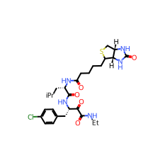 CCNC(=O)C(=O)[C@H](Cc1ccc(Cl)cc1)NC(=O)[C@H](CC(C)C)NC(=O)CCCCC1SC[C@@H]2NC(=O)N[C@H]12